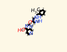 Cc1ccccc1CN/C=C(\C=N)Oc1nc(O)c2ccncc2n1